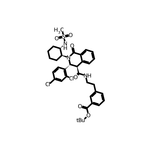 CC(C)(C)OC(=O)c1cccc(CCNC(=O)[C@@H]2c3ccccc3C(=O)N([C@H]3CCCC[C@@H]3NS(C)(=O)=O)[C@H]2c2ccc(Cl)cc2Cl)c1